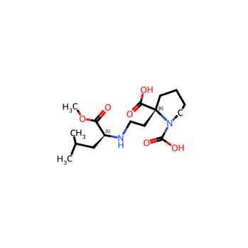 COC(=O)[C@H](CC(C)C)NCC[C@@]1(C(=O)O)CCCCN1C(=O)O